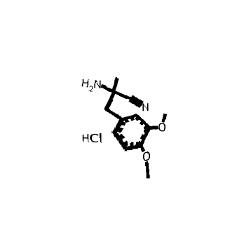 COc1ccc(CC(C)(N)C#N)cc1OC.Cl